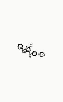 Clc1nc(N[C@H]2CC[C@H](N3CCOCC3)CC2)c2cnn(C3CCCCO3)c2n1